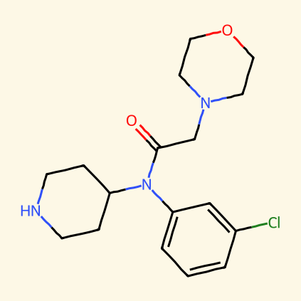 O=C(CN1CCOCC1)N(c1cccc(Cl)c1)C1CCNCC1